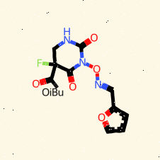 CC(C)COC(=O)C1(F)CNC(=O)N(ON=Cc2ccco2)C1=O